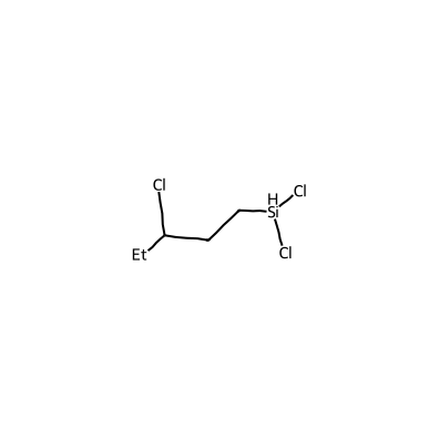 CCC(Cl)CC[SiH](Cl)Cl